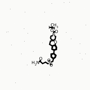 CC(I)(I)OC(=O)N1CCC2(CCc3cc(-c4ccc(CS(=O)(=O)CCCC(N)=O)cc4)ccc3O2)CC1